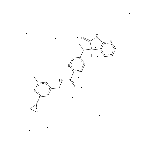 Cc1cc(CNC(=O)c2ccc(C(C)[C@@]3(C)C(=O)Nc4ncccc43)cn2)cc(C2CC2)n1